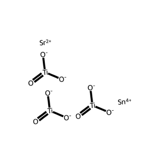 [O]=[Ti]([O-])[O-].[O]=[Ti]([O-])[O-].[O]=[Ti]([O-])[O-].[Sn+4].[Sr+2]